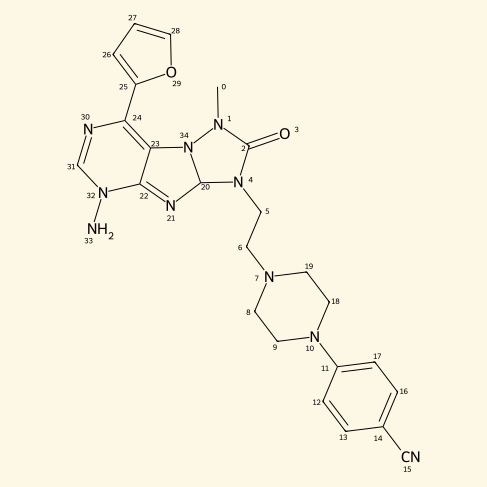 CN1C(=O)N(CCN2CCN(c3ccc(C#N)cc3)CC2)C2N=C3C(=C(c4ccco4)N=CN3N)N21